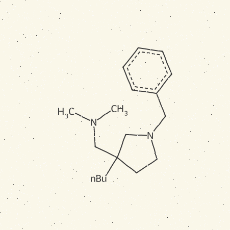 CCCCC1(CN(C)C)CCN(Cc2ccccc2)C1